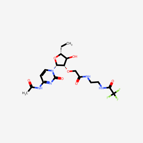 CC[C@H]1O[C@@H](n2ccc(NC(C)=O)nc2=O)[C@@H](OCC(=O)NCCNC(=O)C(F)(F)F)C1O